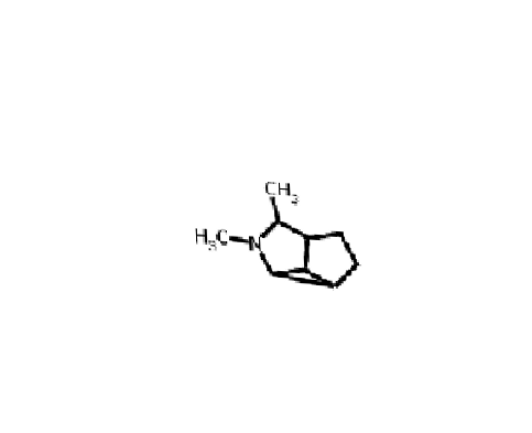 CC1C2CCC3C2C3N1C